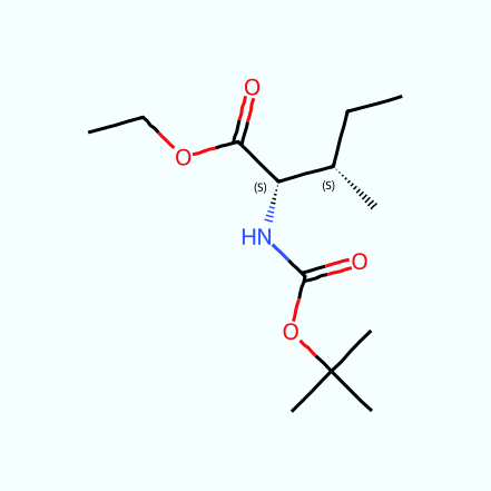 CCOC(=O)[C@@H](NC(=O)OC(C)(C)C)[C@@H](C)CC